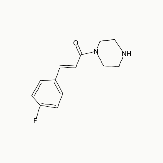 O=C(C=Cc1ccc(F)cc1)N1CCNCC1